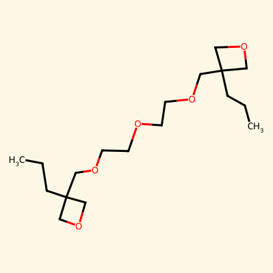 CCCC1(COCCOCCOCC2(CCC)COC2)COC1